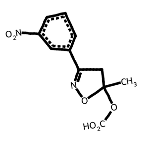 CC1(OC(=O)O)CC(c2cccc([N+](=O)[O-])c2)=NO1